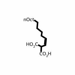 CCCCCCCCCCCC/C=C\C(C(=O)O)C(=O)O